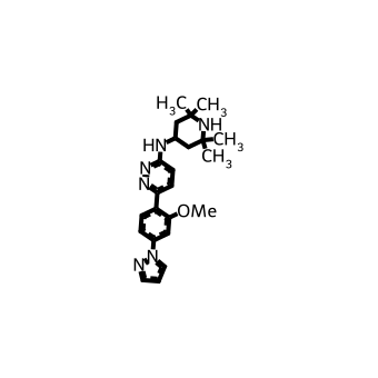 COc1cc(-n2cccn2)ccc1-c1ccc(NC2CC(C)(C)NC(C)(C)C2)nn1